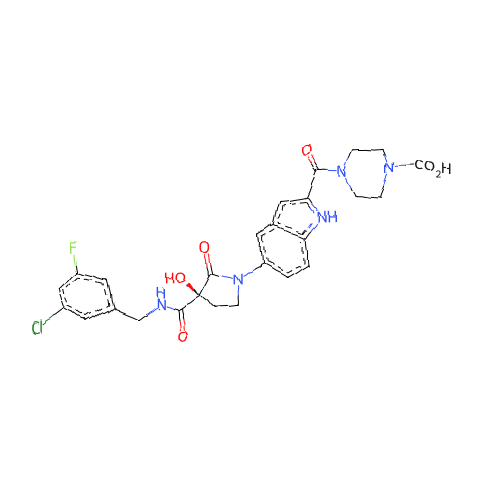 O=C(O)N1CCN(C(=O)c2cc3cc(N4CC[C@](O)(C(=O)NCc5cc(F)cc(Cl)c5)C4=O)ccc3[nH]2)CC1